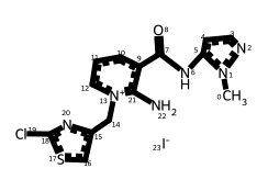 Cn1nccc1NC(=O)c1ccc[n+](Cc2csc(Cl)n2)c1N.[I-]